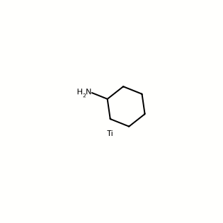 NC1CCCCC1.[Ti]